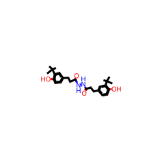 CC(C)(C)c1cc(CCC(=O)NNC(=O)CCc2ccc(O)c(C(C)(C)C)c2)ccc1O